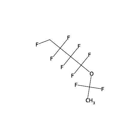 CC(F)(F)OC(F)(F)C(F)(F)C(F)(F)CF